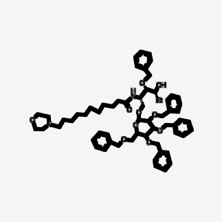 CC[C@@H](O)[C@@H](OCc1ccccc1)[C@H](COC1OC(COCc2ccccc2)C(OCc2ccccc2)C(OCc2ccccc2)C1OCc1ccccc1)NC(=O)CCCCCCCCCCN1CCOCC1